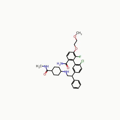 CNC(=O)C1CCC(NCC(c2ccccc2)c2ccc(Cl)c(-c3c(C(N)=O)ccc(OCCOC)c3F)c2)CC1